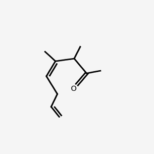 C=CCC=C(C)C(C)C(C)=O